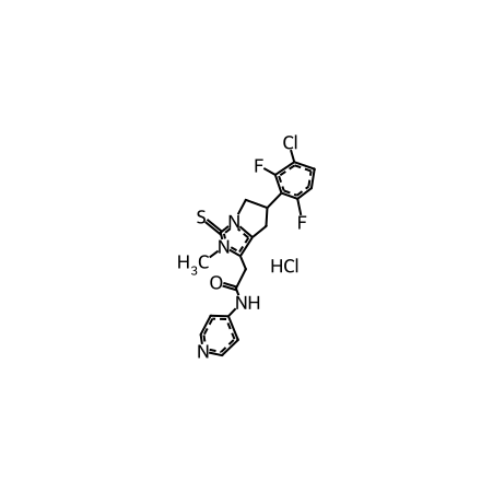 Cl.Cn1c(CC(=O)Nc2ccncc2)c2n(c1=S)CC(c1c(F)ccc(Cl)c1F)C2